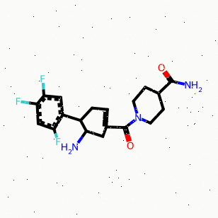 NC(=O)C1CCN(C(=O)C2=CCC(c3cc(F)c(F)cc3F)C(N)C2)CC1